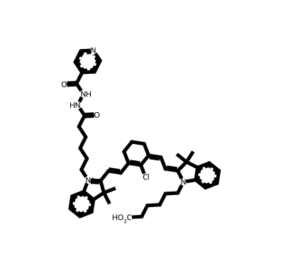 CC1(C)C(=CC=C2CCCC(C=CC3=[N+](CCCCCC(=O)NNC(=O)c4ccncc4)c4ccccc4C3(C)C)=C2Cl)N(CCCCCC(=O)O)c2ccccc21